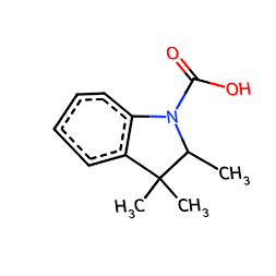 CC1N(C(=O)O)c2ccccc2C1(C)C